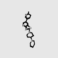 Cc1ccc(-c2cnc3nc(N4CCC(N5CCCCC5)CC4)oc3c2)cn1